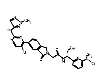 CN(C)c1cccc([C@@H](CO)NC(=O)CN2Cc3ccc(-c4nc(Nc5cnn(C)n5)ncc4Cl)cc3C2=O)n1